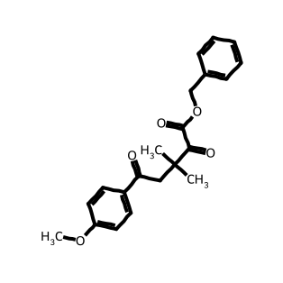 COc1ccc(C(=O)CC(C)(C)C(=O)C(=O)OCc2ccccc2)cc1